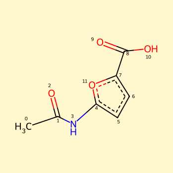 CC(=O)Nc1ccc(C(=O)O)o1